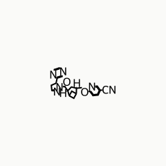 N#Cc1ccc(OC[C@@H]2C[C@H](C(=O)N3N=CCC3c3cnccn3)C3CC2C3)nc1